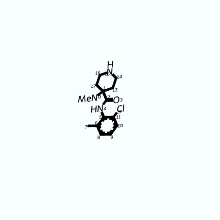 CNC1(C(=O)Nc2c(C)cccc2Cl)CCNCC1